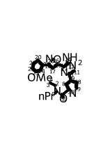 CCCN(CCOC)C(=O)c1cc(-c2cnc(N)c(-c3cc(-c4ccccc4)no3)n2)ccn1